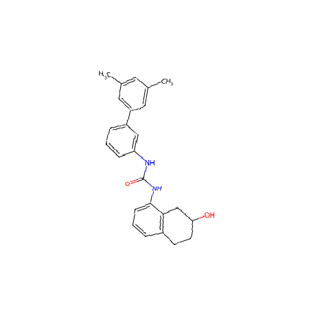 Cc1cc(C)cc(-c2cccc(NC(=O)Nc3cccc4c3CC(O)CC4)c2)c1